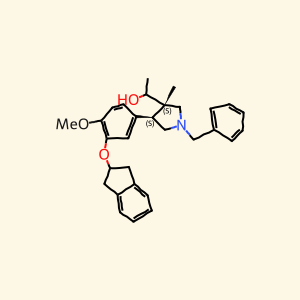 COc1ccc([C@@H]2CN(Cc3ccccc3)C[C@@]2(C)C(C)O)cc1OC1Cc2ccccc2C1